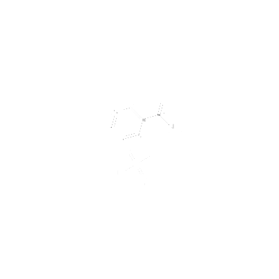 CS(=O)(=O)O.NC(=O)c1ccc[n+]([O-])c1